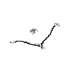 CCCCCCCCCCCCCCCCCC[N+](C)(C)CCCCCCCCCCCCCCCCCC.O.[AlH3].[OH-]